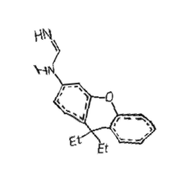 CCC1(CC)c2ccccc2Oc2cc(NC=N)ccc21